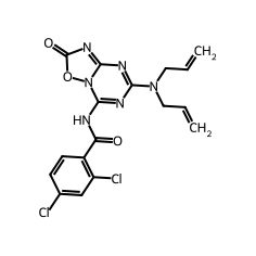 C=CCN(CC=C)c1nc(NC(=O)c2ccc(Cl)cc2Cl)n2oc(=O)nc2n1